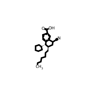 CCCCCCC[C@@H]1CC(C#N)c2cc(C(=O)O)ccc2[C@H]1C1CCCCC1